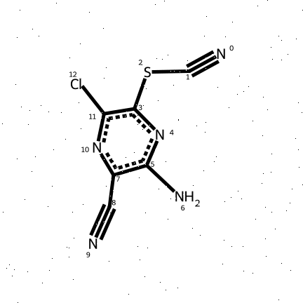 N#CSc1nc(N)c(C#N)nc1Cl